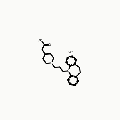 Cl.O=C(O)CC1CCN(CCCN2c3ccccc3CCc3ccccc32)CC1